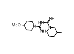 COC1CCN(C(=N)NC(=N)N2CCCC(C)C2)CC1